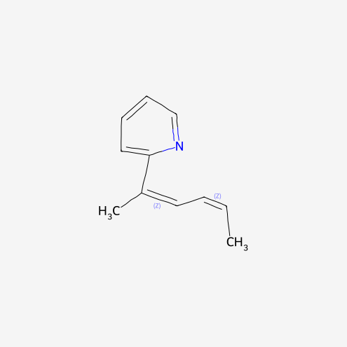 C/C=C\C=C(\C)c1ccccn1